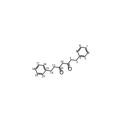 O=C(CCc1ccccc1)CC(=O)CCc1ccccc1